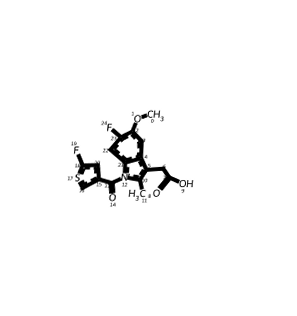 COc1cc2c(CC(=O)O)c(C)n(C(=O)c3csc(F)c3)c2cc1F